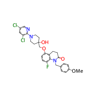 COc1ccc(CN2C(=O)CCc3c(OCC4(O)CCN(c5ncc(Cl)cc5Cl)CC4)ccc(F)c32)cc1